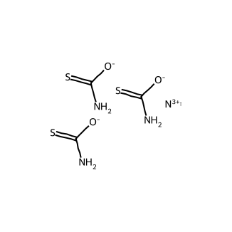 NC([O-])=S.NC([O-])=S.NC([O-])=S.[N+3]